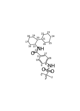 CC(C)(C)S(=O)(=O)Nc1ccc(C(=O)NC2CCCCC2C2CCCCC2)cc1